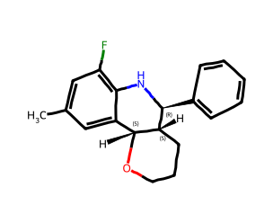 Cc1cc(F)c2c(c1)[C@H]1OCCC[C@H]1[C@H](c1ccccc1)N2